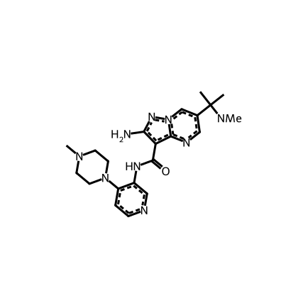 CNC(C)(C)c1cnc2c(C(=O)Nc3cnccc3N3CCN(C)CC3)c(N)nn2c1